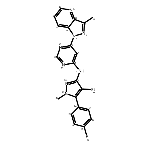 CCc1c(Nc2cc(-n3nc(C)c4ncccc43)ncn2)nn(C)c1-c1ccc(F)cc1